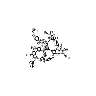 CC[C@H](CC(C)C)C(=O)N[C@H]1C(=O)C[C@@H](CC(=O)NS(=O)(=O)c2ccc(OCCN)cc2)C(=O)N[C@H]2C(=O)C[C@H]3C(=O)N[C@H](C(=O)N[C@H](C(=O)CC4C5CC6CC(C5)CC4C6)c4cc(O)cc(O)c4-c4cc3ccc4O)[C@H](O)c3ccc(c(Cl)c3)Oc3cc2cc(c3O[C@@H]2C[C@H](CN)[C@@H](O)[C@H](O)[C@H]2O)Oc2ccc(cc2Cl)[C@H]1O